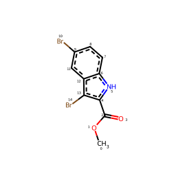 COC(=O)c1[nH]c2ccc(Br)cc2c1Br